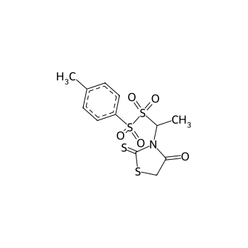 Cc1ccc(S(=O)(=O)S(=O)(=O)C(C)N2C(=O)CSC2=S)cc1